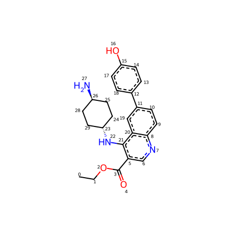 CCOC(=O)c1cnc2ccc(-c3ccc(O)cc3)cc2c1N[C@H]1CC[C@H](N)CC1